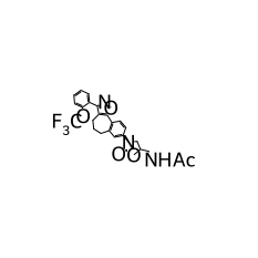 CC(=O)NCC1CN(c2ccc3c(c2)CCCc2c(-c4ccccc4OC(F)(F)F)noc2-3)C(=O)O1